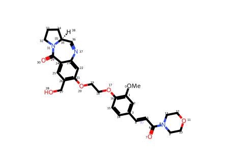 COc1cc(/C=C/C(=O)N2CCOCC2)ccc1OCCOc1cc2c(cc1CO)C(=O)N1CCC[C@H]1C=N2